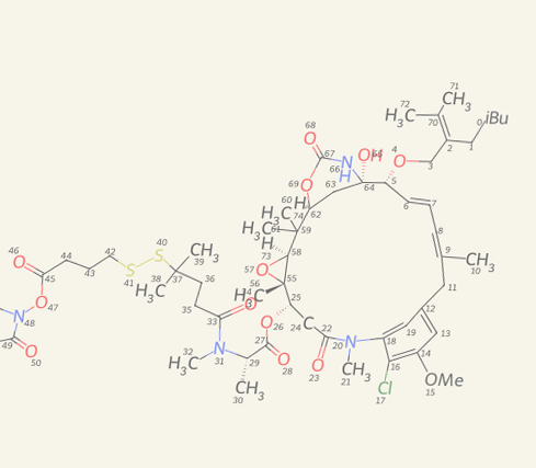 CCC(C)CC(CO[C@@H]1/C=C/C=C(\C)Cc2cc(OC)c(Cl)c(c2)N(C)C(=O)C[C@H](OC(=O)[C@H](C)N(C)C(=O)CCC(C)(C)SSCCCC(=O)ON2C(=O)CCC2=O)[C@]2(C)O[C@H]2C(C)(C)[C@@H]2C[C@@]1(O)NC(=O)O2)=C(C)C